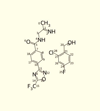 CC(=N)CNC(=O)c1ccc(-c2noc(C(F)(F)F)n2)cc1.OCc1ccc(F)cc1Cl